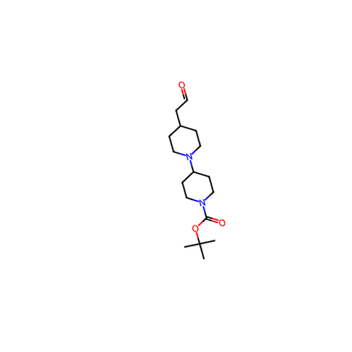 CC(C)(C)OC(=O)N1CCC(N2CCC(CC=O)CC2)CC1